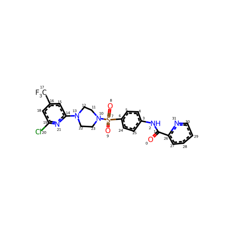 O=C(Nc1ccc(S(=O)(=O)N2CCN(c3cc(C(F)(F)F)cc(Cl)n3)CC2)cc1)c1ccccn1